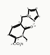 Cn1c(C(=O)O)ccc(Cn2cccn2)c1=O